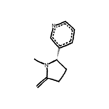 C=C1CC[C@@H](c2cccnc2)N1C